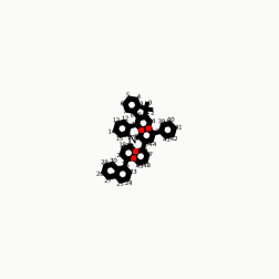 CC1(C)c2ccccc2-c2c(-c3ccccc3N(c3ccc(-c4cccc5ccccc45)cc3)c3ccc(-c4ccccc4)cc3-c3ccccc3)cccc21